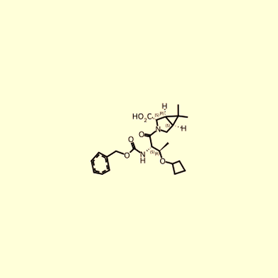 C[C@@H](OC1CCC1)[C@H](NC(=O)OCc1ccccc1)C(=O)N1C[C@H]2[C@@H]([C@H]1C(=O)O)C2(C)C